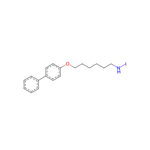 INCCCCCCOc1ccc(-c2ccccc2)cc1